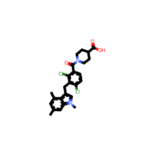 Cc1cc(C)c2c(Cc3c(Cl)ccc(C(=O)N4CCC(C(=O)O)CC4)c3Cl)cn(C)c2c1